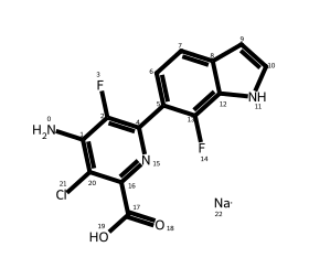 Nc1c(F)c(-c2ccc3cc[nH]c3c2F)nc(C(=O)O)c1Cl.[Na]